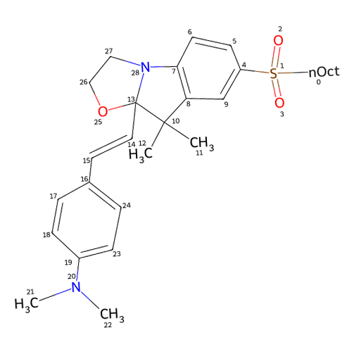 CCCCCCCCS(=O)(=O)c1ccc2c(c1)C(C)(C)C1(/C=C/c3ccc(N(C)C)cc3)OCCN21